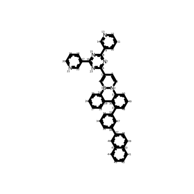 C1=CN2B(C=C1c1nc(-c3cccnc3)nc(-c3cccnc3)n1)c1ccccc1-c1c(-c3cccc(-c4ccc5ccccc5c4)c3)cccc12